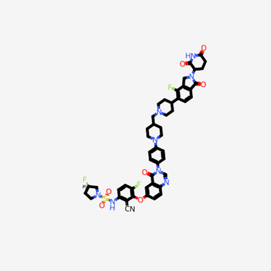 N#Cc1c(NS(=O)(=O)N2CC[C@@H](F)C2)ccc(F)c1Oc1ccc2ncn(-c3ccc(N4CCC(CN5CCC(c6ccc7c(c6F)CN(C6CCC(=O)NC6=O)C7=O)CC5)CC4)cc3)c(=O)c2c1